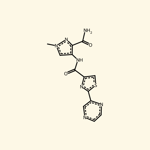 Cn1cc(NC(=O)c2csc(-c3cnccn3)n2)c(C(N)=O)n1